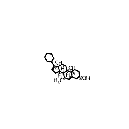 C[C@@H]1C=C2C[C@@H](O)CC[C@]2(C)[C@H]2CC[C@]3(C)C(C4CCCCC4)=CC[C@H]3[C@H]12